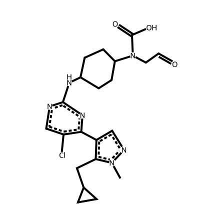 Cn1ncc(-c2nc(NC3CCC(N(CC=O)C(=O)O)CC3)ncc2Cl)c1CC1CC1